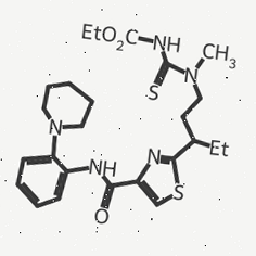 CCOC(=O)NC(=S)N(C)CCC(CC)c1nc(C(=O)Nc2ccccc2N2CCCCC2)cs1